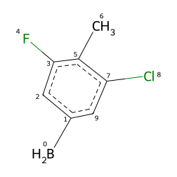 Bc1cc(F)c(C)c(Cl)c1